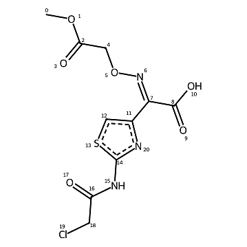 COC(=O)CO/N=C(/C(=O)O)c1csc(NC(=O)CCl)n1